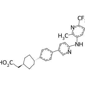 Cc1nc(C(F)(F)F)ccc1Nc1ccc(-c2ccc([C@H]3CC[C@H](CC(=O)O)CC3)cc2)cn1